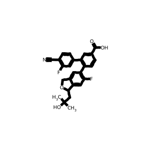 CC(C)(O)CC1OCc2cc(-c3ccc(C(=O)O)cc3-c3ccc(C#N)c(F)c3)c(F)cc21